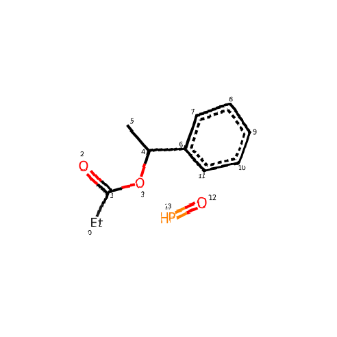 CCC(=O)OC(C)c1ccccc1.O=P